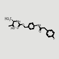 CC(O)[C@H](NC(=O)OCc1ccc(NC(=O)Cc2ccc(F)cc2)cc1)C(=O)O